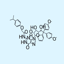 COc1ccc(C(c2ccccc2)(c2ccc(OC)cc2)C(O)[C@H]2O[C@@H](n3cnc4c(=O)[nH]c(NC(=O)COc5ccc(C(C)C)cc5)nc43)[C@H](O)[C@@H]2O)cc1